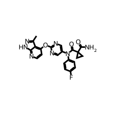 Cc1n[nH]c2nccc(Oc3ncc(N(C(=O)C4(C(N)=O)CC4)c4ccc(F)cc4)cn3)c12